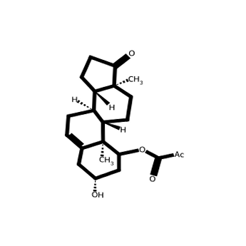 CC(=O)C(=O)OC1C[C@H](O)CC2=CC[C@H]3[C@@H]4CCC(=O)[C@@]4(C)CC[C@@H]3[C@]21C